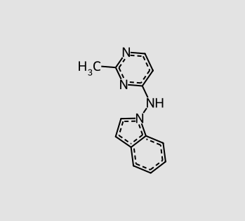 Cc1nccc(Nn2ccc3ccccc32)n1